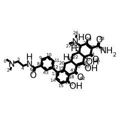 CN(C)CCNC(=O)c1cccc(-c2ccc(O)c3c2C[C@H]2C[C@H]4C(N(C)C)C(O)=C(C(N)=O)C(=O)[C@@]4(O)C(O)=C2C3=O)c1